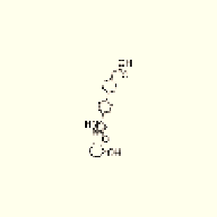 O=C(O)CC1CCC(c2ccc(-c3cc(OC4CCCCC4O)n[nH]3)cc2)CC1